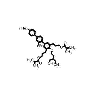 C=C(C)C(=O)OCCCc1cc(-c2ccc(-c3ccc(CCCCCC)cc3)cc2CCC)cc(CCCOC(=O)C(=C)C)c1OCCC(CO)CO